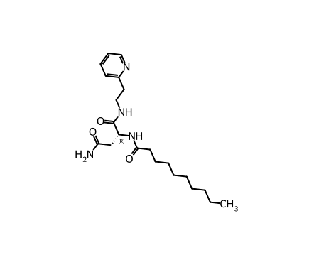 CCCCCCCCCC(=O)N[C@H](CC(N)=O)C(=O)NCCc1ccccn1